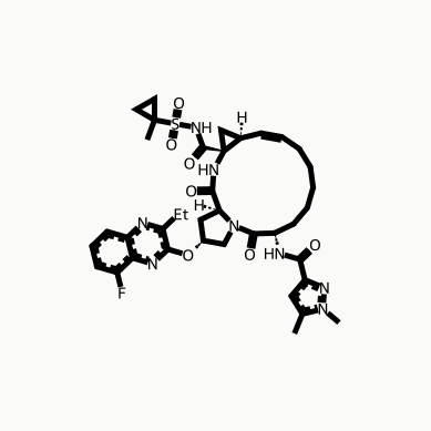 CCc1nc2cccc(F)c2nc1O[C@@H]1C[C@H]2C(=O)N[C@]3(C(=O)NS(=O)(=O)C4(C)CC4)C[C@H]3C=CCCCCC[C@H](NC(=O)c3cc(C)n(C)n3)C(=O)N2C1